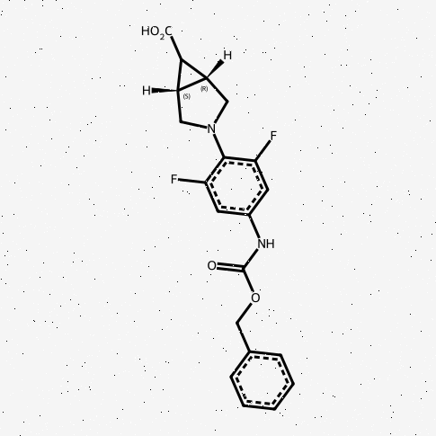 O=C(Nc1cc(F)c(N2C[C@@H]3C(C(=O)O)[C@@H]3C2)c(F)c1)OCc1ccccc1